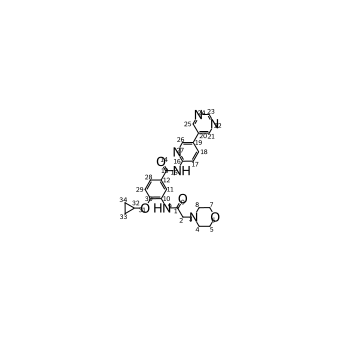 O=C(CN1CCOCC1)Nc1cc(C(=O)Nc2ccc(-c3cncnc3)cn2)ccc1OC1CC1